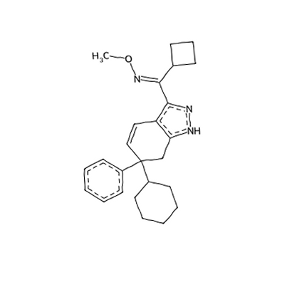 CON=C(c1n[nH]c2c1C=CC(c1ccccc1)(C1CCCCC1)C2)C1CCC1